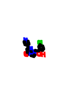 O=c1cc(-c2ccncc2)nc2n1CCCN2CC(O)c1cccc(Cl)c1